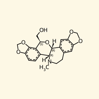 CN1CCc2cc3c(cc2[C@H]2O[C@H](CO)c4c(ccc5c4OCO5)[C@H]21)OCO3